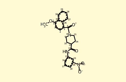 COc1ccc(C(=O)N2CCC(C(=O)Nc3cccc([N+](=O)[O-])c3)CC2)c2ccccc12